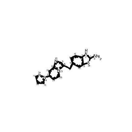 NC1Nc2ccc(Cc3cnc4cc(-n5cccn5)ccn34)cc2S1